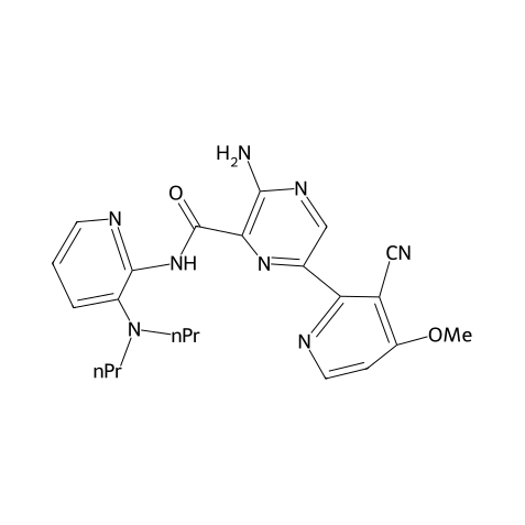 CCCN(CCC)c1cccnc1NC(=O)c1nc(-c2nccc(OC)c2C#N)cnc1N